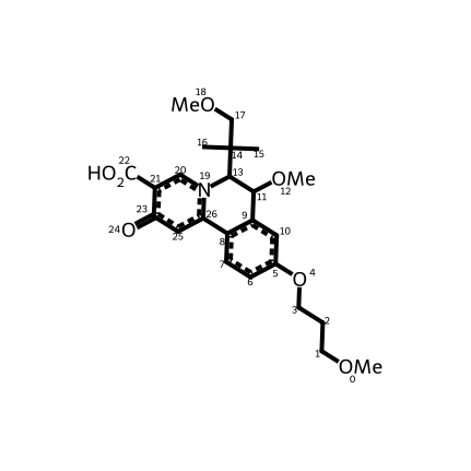 COCCCOc1ccc2c(c1)C(OC)C(C(C)(C)COC)n1cc(C(=O)O)c(=O)cc1-2